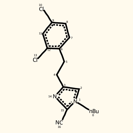 CCCCn1cc(CCc2ccc(Cl)cc2Cl)nc1C#N